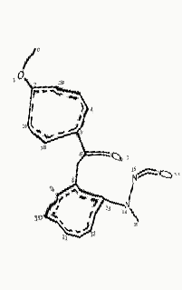 COc1ccc(C(=O)c2ccccc2N(C)N=O)cc1